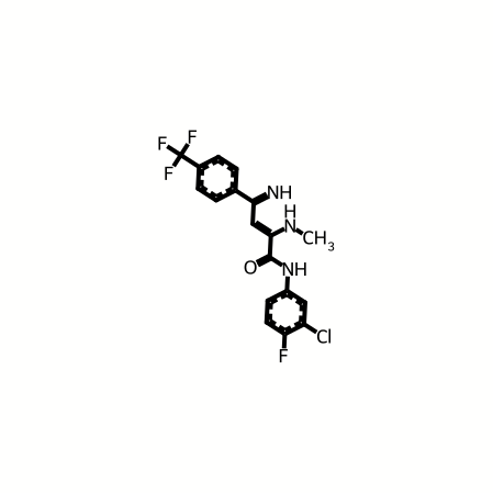 CN/C(=C\C(=N)c1ccc(C(F)(F)F)cc1)C(=O)Nc1ccc(F)c(Cl)c1